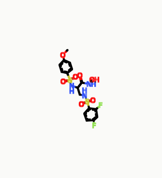 COc1ccc(S(=O)(=O)NC(CNS(=O)(=O)c2ccc(F)cc2F)C(=O)NO)cc1